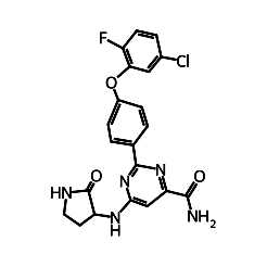 NC(=O)c1cc(NC2CCNC2=O)nc(-c2ccc(Oc3cc(Cl)ccc3F)cc2)n1